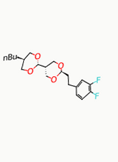 CCCC[C@H]1CO[C@H]([C@H]2CO[C@H](CCc3ccc(F)c(F)c3)OC2)OC1